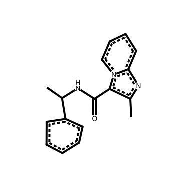 Cc1nc2ccccn2c1C(=O)NC(C)c1ccccc1